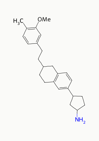 COc1cc(CCC2CCc3cc(C4CCC(N)C4)ccc3C2)ccc1C